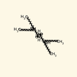 CCCCCCCCCCCCN(CCCC[C@H]1NC(=O)[C@H](CCCCN(CCCCCCCCCCCC)C[C@@H](O)CCCCCCCCCC)NC1=O)C[C@H](O)CCCCCCCCCC